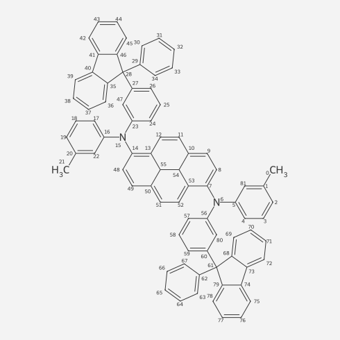 Cc1cccc(N(C2=CC=C3C=CC4=C(N(c5cccc(C)c5)c5cccc(C6(c7ccccc7)c7ccccc7-c7ccccc76)c5)C=CC5=CC=C2C3C54)c2cccc(C3(c4ccccc4)c4ccccc4-c4ccccc43)c2)c1